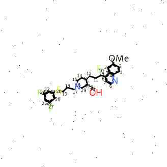 COc1ccc2nccc([C@H](F)CC[C@@H]3CCN(CCCSc4cc(F)cc(F)c4)C[C@@H]3CO)c2c1